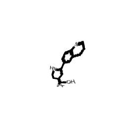 CC(C)C(O)C1CCNC(c2ccc3c(c2)CCC=N3)C1